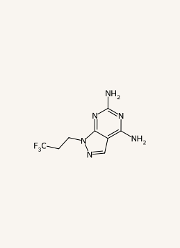 Nc1nc(N)c2cnn(CCC(F)(F)F)c2n1